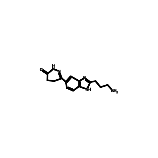 NCCCc1nc2cc(C3=NNC(=O)CC3)ccc2[nH]1